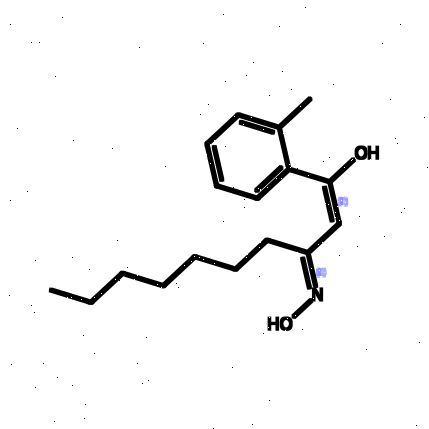 CCCCCCCC(/C=C(/O)c1ccccc1C)=N\O